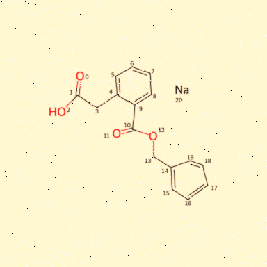 O=C(O)Cc1ccccc1C(=O)OCc1ccccc1.[Na]